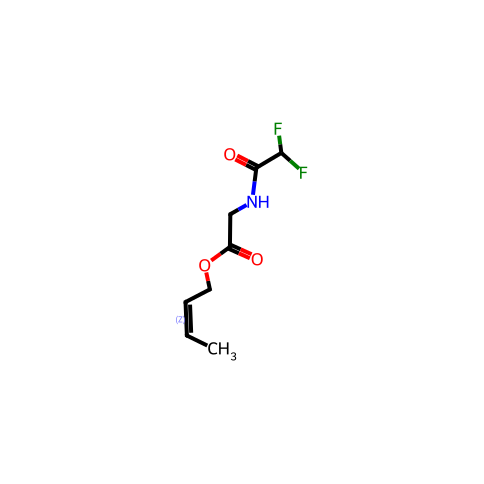 C/C=C\COC(=O)CNC(=O)C(F)F